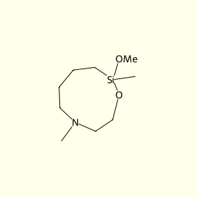 CO[Si]1(C)CCCCN(C)CCO1